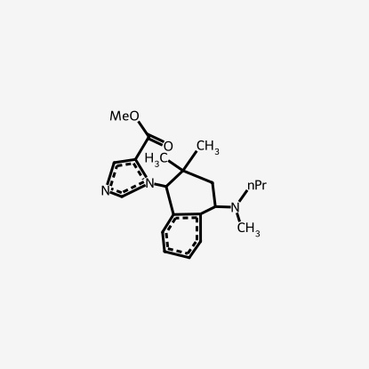 CCCN(C)C1CC(C)(C)C(n2cncc2C(=O)OC)c2ccccc21